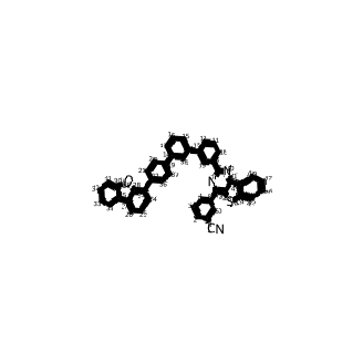 N#Cc1cccc(-c2nc(-c3cccc(-c4cccc(-c5ccc(-c6cccc7c6oc6ccccc67)cc5)c4)c3)nc3c2sc2ccccc23)c1